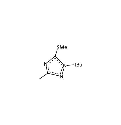 CSc1nc(C)nn1C(C)(C)C